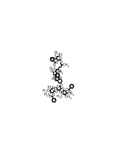 CCC1O[C@@H](OC[C@H](C)CCC(=O)[C@@H](C)[C@H]2C(=O)C[C@H]3[C@@H]4CC=C5C[C@@H](O[C@@H]6OC(CC)[C@@H](O[C@@H]7OC(CC)[C@@H](C)[C@H](C)C7OC(=O)c7ccccc7)[C@H](C)C6O[C@@H]6OC(C)[C@H](C)[C@H](C)C6OC(=O)c6ccccc6)CC[C@]5(C)[C@H]4CC[C@]23C)C(OC(=O)c2ccccc2)[C@@H](C)[C@@H]1C